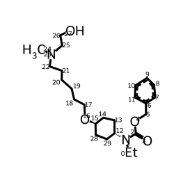 CCN(C(=O)OCc1ccccc1)[C@H]1CC[C@H](OCCCCCCN(C)CCO)CC1